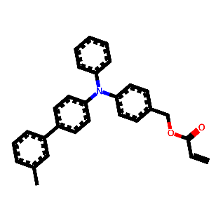 C=CC(=O)OCc1ccc(N(c2ccccc2)c2ccc(-c3cccc(C)c3)cc2)cc1